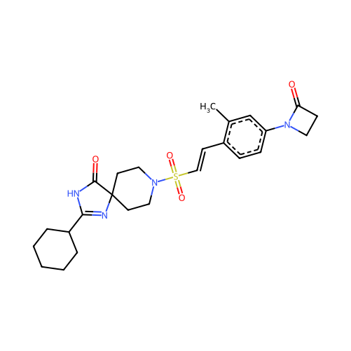 Cc1cc(N2CCC2=O)ccc1C=CS(=O)(=O)N1CCC2(CC1)N=C(C1CCCCC1)NC2=O